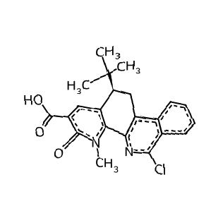 Cn1c2c(cc(C(=O)O)c1=O)[C@@H](C(C)(C)C)Cc1c-2nc(Cl)c2ccccc12